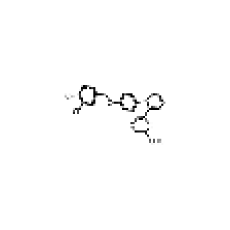 O=CC1=COC=C(C2=CC=CC[C@H]2c2ccc(OCc3ccc(Cl)c(Cl)c3)cc2)O1